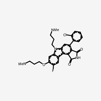 CNCCCOc1cc2c(cc1F)c1c3c(c(-c4ccccc4Cl)cc1n2CCCNC)C(=O)NC3=O